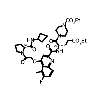 CCOC(=O)CC[C@H](NC(=O)c1cc(OCC(=O)N2CCC[C@H]2C(=O)NC2CCC2)c2c(C)c(F)ccc2n1)C(=O)N1CCN(C(=O)OCC)CC1